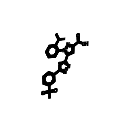 CC(C)c1ccccc1-n1nc(C(=O)O)cc1-c1nnc(-c2cccc(S(C)(=O)=O)c2)s1